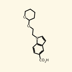 O=C(O)c1ccc2c(ccn2CCOC2CCCCO2)c1